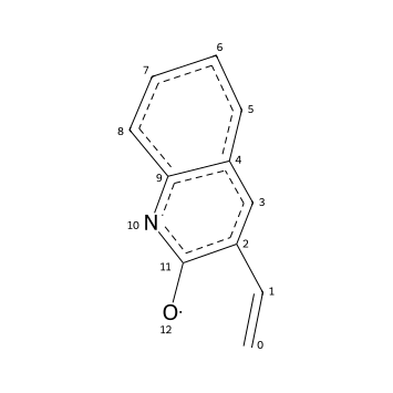 C=Cc1cc2ccccc2nc1[O]